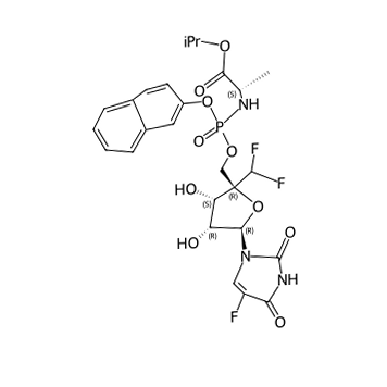 CC(C)OC(=O)[C@H](C)NP(=O)(OC[C@@]1(C(F)F)O[C@@H](n2cc(F)c(=O)[nH]c2=O)[C@H](O)[C@@H]1O)Oc1ccc2ccccc2c1